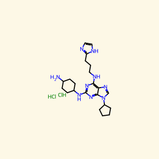 Cl.Cl.NC1CCC(Nc2nc(NCCCc3ncc[nH]3)c3ncn(C4CCCC4)c3n2)CC1